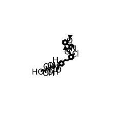 O=C(NCC(O)C(O)C(O)C(O)CO)c1ccc(CCc2ccc(Cl)c(COC3(c4cnccc4-c4ccccc4OC4CC4)CC3)c2)cc1